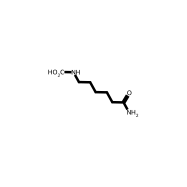 NC(=O)CCCCCNC(=O)O